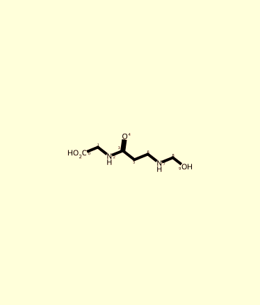 O=C(O)CNC(=O)CCNCO